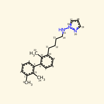 Cc1cccc(-c2cccc(CCCCNn3cccn3)c2C)c1C